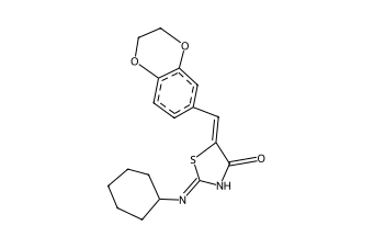 O=C1N/C(=N/C2CCCCC2)S/C1=C\c1ccc2c(c1)OCCO2